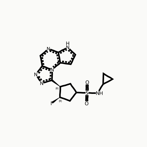 O=S(=O)(NC1CC1)C1C[C@@H](I)[C@@H](c2nnc3cnc4[nH]ccc4n23)C1